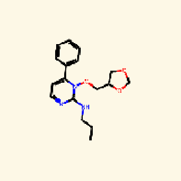 CCCNC1N=CC=C(c2ccccc2)N1OCC1COCO1